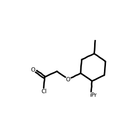 CC1CCC(C(C)C)C(OCC(=O)Cl)C1